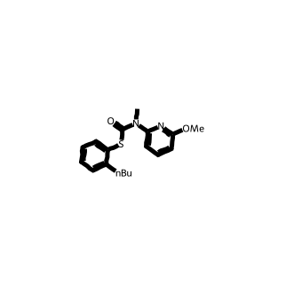 CCCCc1ccccc1SC(=O)N(C)c1cccc(OC)n1